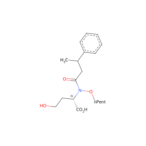 CCCCCON(C(=O)CC(C)c1ccccc1)[C@@H](CCO)C(=O)O